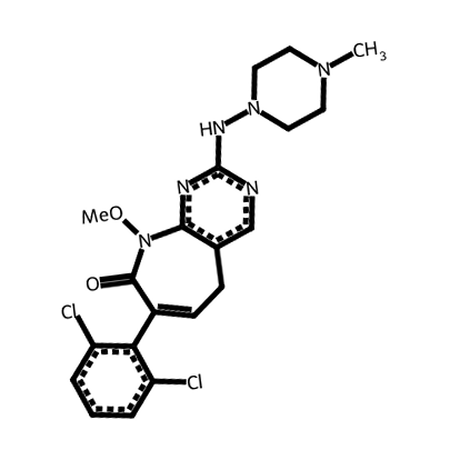 CON1C(=O)C(c2c(Cl)cccc2Cl)=CCc2cnc(NN3CCN(C)CC3)nc21